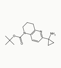 CC(C)(C)OC(=O)N1CCCc2nc(C3(N)CC3)ccc21